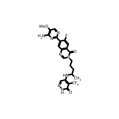 COc1cnc(-c2cc3ncn(CCCC(C)Nc4cn[nH]c(=O)c4C(F)(F)F)c(=O)c3cc2F)nc1N